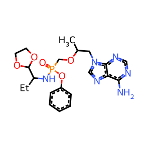 CCC(NP(=O)(COC(C)Cn1cnc2c(N)ncnc21)Oc1ccccc1)C1OCCO1